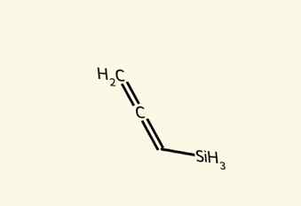 C=C=C[SiH3]